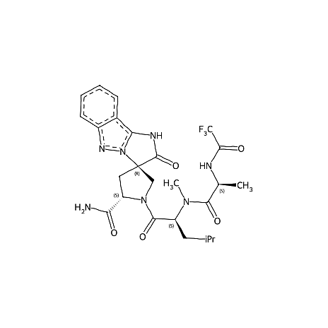 CC(C)C[C@@H](C(=O)N1C[C@]2(C[C@H]1C(N)=O)C(=O)Nc1c3ccccc3nn12)N(C)C(=O)[C@H](C)NC(=O)C(F)(F)F